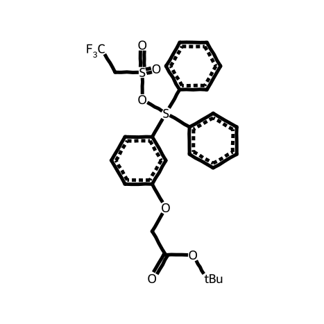 CC(C)(C)OC(=O)COc1cccc(S(OS(=O)(=O)CC(F)(F)F)(c2ccccc2)c2ccccc2)c1